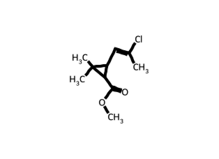 COC(=O)C1C(/C=C(\C)Cl)C1(C)C